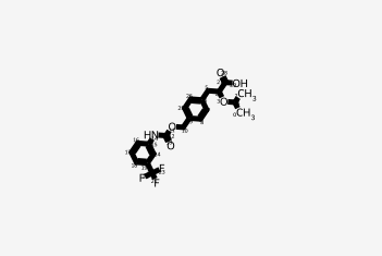 CC(C)OC(Cc1ccc(COC(=O)Nc2cccc(C(F)(F)F)c2)cc1)C(=O)O